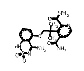 CC(C)(COc1cccc2c1C(N)=NS(=O)(=O)N2)c1c(C(N)=O)ccnc1C(N)=O